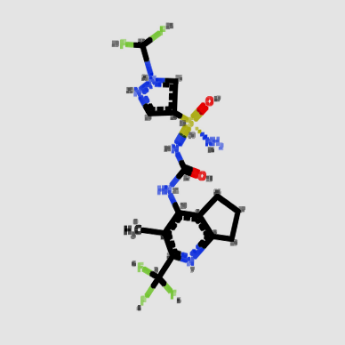 Cc1c(C(F)(F)F)nc2c(c1NC(=O)N=[S@](N)(=O)c1cnn(C(F)F)c1)CCC2